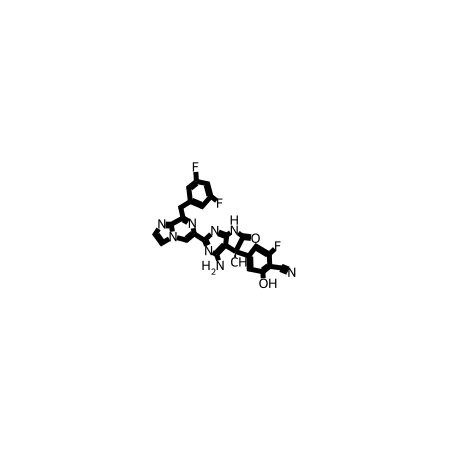 C[C@@]1(c2cc(O)c(C#N)c(F)c2)C(=O)Nc2nc(-c3cn4ccnc4c(Cc4cc(F)cc(F)c4)n3)nc(N)c21